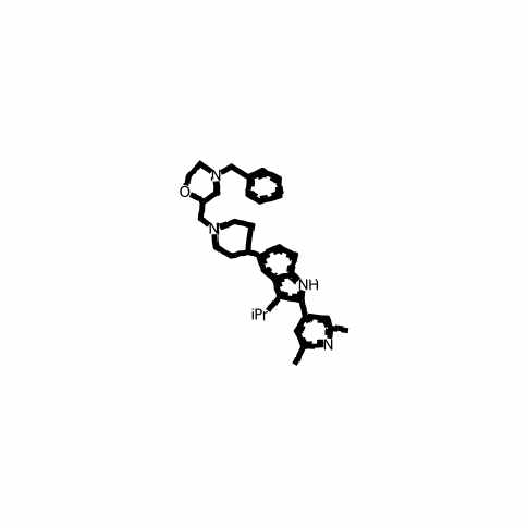 Cc1cc(-c2[nH]c3ccc(C4CCN(CC5CN(Cc6ccccc6)CCO5)CC4)cc3c2C(C)C)cc(C)n1